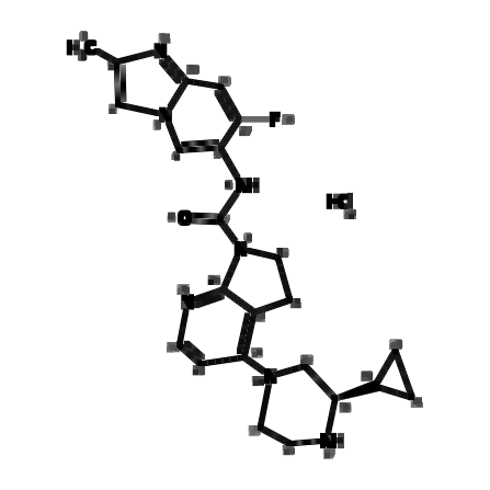 Cc1cn2cc(NC(=O)N3CCc4c(N5CCN[C@H](C6CC6)C5)ccnc43)c(F)cc2n1.Cl